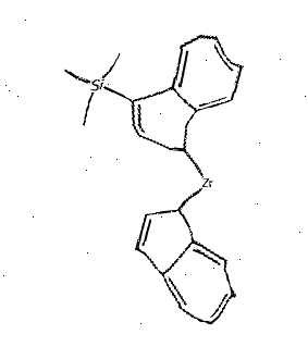 C[Si](C)(C)C1=C[CH]([Zr][CH]2C=Cc3ccccc32)c2ccccc21